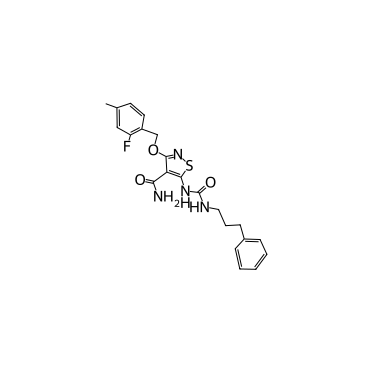 Cc1ccc(COc2nsc(NC(=O)NCCCc3ccccc3)c2C(N)=O)c(F)c1